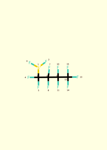 F[S+](F)C(F)(F)C(F)(F)C(F)(F)C(F)(F)F